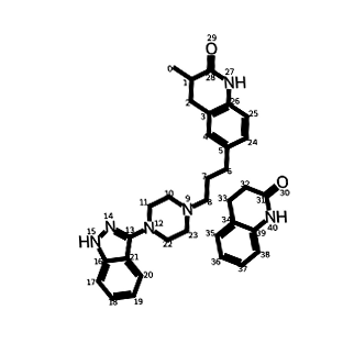 CC1Cc2cc(CCCN3CCN(c4n[nH]c5ccccc45)CC3)ccc2NC1=O.O=C1CCc2ccccc2N1